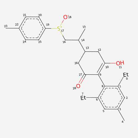 CCc1cc(C)cc(CC)c1C1=C(O)CC(C(C)C[S+]([O-])c2ccc(C)cc2)CC1=O